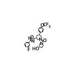 O=C(N1CCC(O)C1)N1CC(c2ccc(OC(F)(F)F)cc2)CC(c2nc(-c3cccc(F)c3)no2)C1